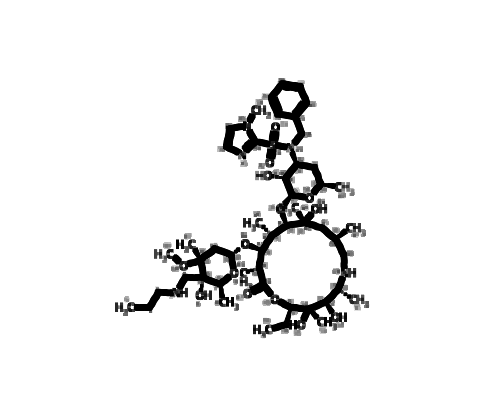 CCCNC[C@]1(O)[C@H](C)O[C@@H](O[C@H]2[C@H](C)[C@@H](O[C@@H]3O[C@H](C)C[C@H](N(Cc4ccccc4)S(=O)(=O)c4nccn4C)[C@H]3O)[C@](C)(O)C[C@@H](C)CN[C@H](C)[C@@H](O)[C@](C)(O)[C@@H](CC)OC(=O)[C@@H]2C)C[C@@]1(C)OC